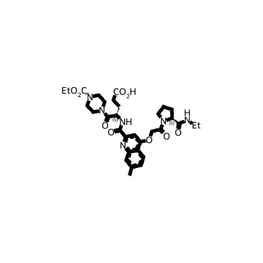 CCNC(=O)[C@@H]1CCCN1C(=O)COc1cc(C(=O)N[C@@H](CCC(=O)O)C(=O)N2CCN(C(=O)OCC)CC2)nc2cc(C)ccc12